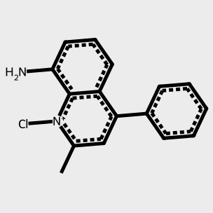 Cc1cc(-c2ccccc2)c2cccc(N)c2[n+]1Cl